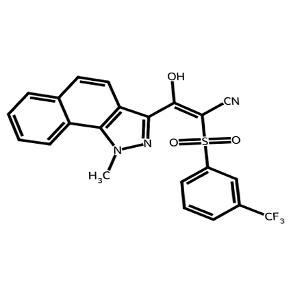 Cn1nc(C(O)=C(C#N)S(=O)(=O)c2cccc(C(F)(F)F)c2)c2ccc3ccccc3c21